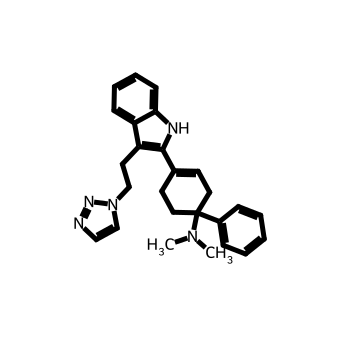 CN(C)C1(c2ccccc2)CC=C(c2[nH]c3ccccc3c2CCn2ccnn2)CC1